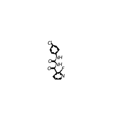 O=C(NC(=O)c1cccnc1F)Nc1ccc(Cl)cc1